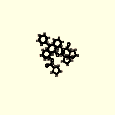 O=C(Oc1cccc2c(-c3ccccc3)c3cccc(OC(=O)C4CCCC4)c3c(OC(=O)C3CCCC3)c12)C1CCCC1